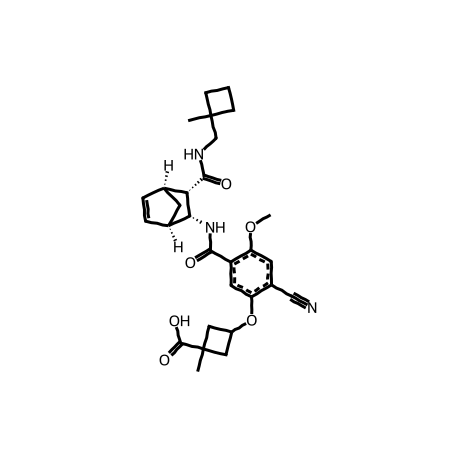 COc1cc(C#N)c(OC2CC(C)(C(=O)O)C2)cc1C(=O)N[C@H]1[C@@H](C(=O)NCC2(C)CCC2)[C@@H]2C=C[C@H]1C2